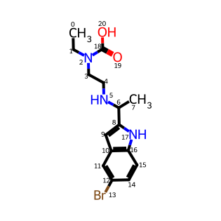 CCN(CCNC(C)c1cc2cc(Br)ccc2[nH]1)C(=O)O